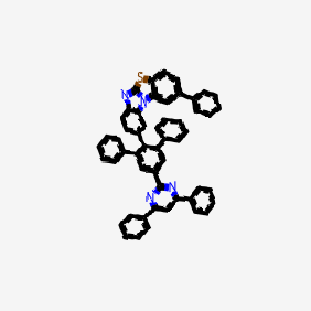 c1ccc(-c2ccc3sc4nc5ccc(-c6c(-c7ccccc7)cc(-c7nc(-c8ccccc8)cc(-c8ccccc8)n7)cc6-c6ccccc6)cc5n4c3c2)cc1